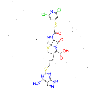 Nc1nc(SCC=CC2=C(C(=O)O)N3C(=O)[C@@H](NC(=O)CSc4cc(Cl)nc(Cl)c4)[C@H]3SC2)nc2[nH]ncc12